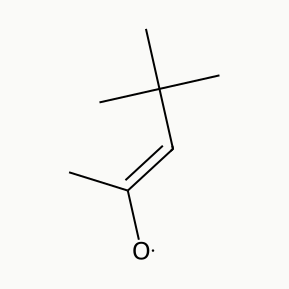 C/C([O])=C\C(C)(C)C